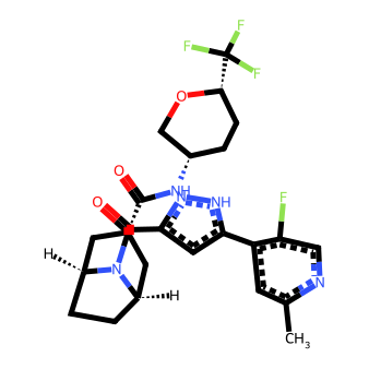 Cc1cc(-c2cc(C(=O)N3[C@@H]4CC[C@H]3C[C@H](C(=O)N[C@H]3CC[C@@H](C(F)(F)F)OC3)C4)n[nH]2)c(F)cn1